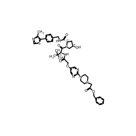 Cc1ncsc1-c1ccc(CNC(=O)[C@@H]2C[C@@H](O)CN2C(=O)[C@@H](NC(=O)COc2cnc(N3CCN(CC(=O)OCc4ccccc4)CC3)nc2)C(C)(C)C)cc1